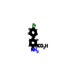 Nc1ccc(-c2ccc(F)cc2)cc1C(=O)O